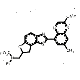 CCN(CC1Cc2c(ccc3nc(-c4cc(C)cc5nc(OC)cnc45)sc23)O1)C(=O)O